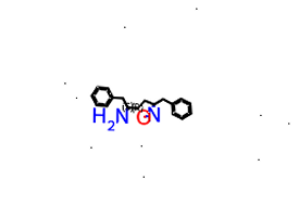 N[C@@H](Cc1ccccc1)[C@H]1CC(Cc2ccccc2)=NO1